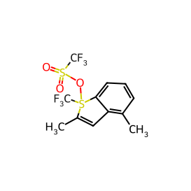 CC1=Cc2c(C)cccc2S1(OS(=O)(=O)C(F)(F)F)C(F)(F)F